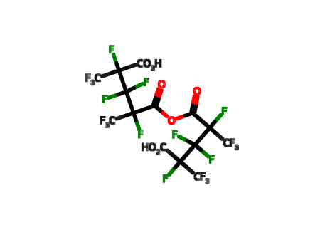 O=C(O)C(F)(C(F)(F)F)C(F)(F)C(F)(C(=O)OC(=O)C(F)(C(F)(F)F)C(F)(F)C(F)(C(=O)O)C(F)(F)F)C(F)(F)F